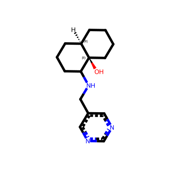 O[C@]12CCCC[C@@H]1CCCC2NCc1cncnc1